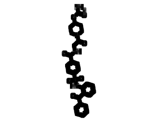 NC(=O)OC1CCN(C(=O)CNC(=O)c2ccc(S(=O)(=O)Nc3ccccc3C(=O)c3ccccc3)cc2)CC1